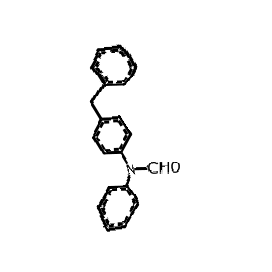 O=CN(c1ccccc1)c1ccc(Cc2ccccc2)cc1